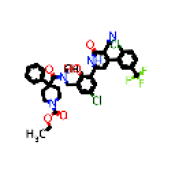 CCOC(=O)N1CCC(C(=O)N(C)Cc2cc(Cl)cc(-c3cc(-c4cc(C(F)(F)F)ccc4Cl)c(C#N)c(=O)[nH]3)c2O)(c2ccccc2)CC1